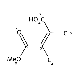 COC(=O)/C(Cl)=C(/Cl)C(=O)O